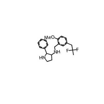 COc1ccc(CC(C)(F)F)cc1CNC1CCNC1c1ccccc1